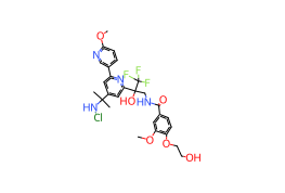 COc1ccc(-c2cc(C(C)(C)NCl)cc(C(O)(CNC(=O)c3ccc(OCCO)c(OC)c3)C(F)(F)F)n2)cn1